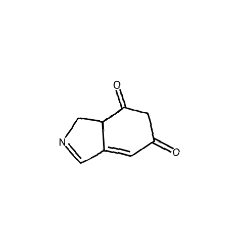 O=C1C=C2C=NCC2C(=O)C1